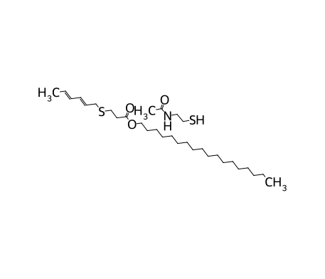 CC(=O)NCCS.CC=CC=CCSCCC(=O)OCCCCCCCCCCCCCCCCCC